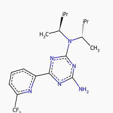 CC(C)[C@H](C)N(c1nc(N)nc(-c2cccc(C(F)(F)F)n2)n1)[C@@H](C)C(C)C